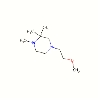 COCCN1CCN(C)C(C)(C)C1